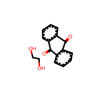 O=C1c2ccccc2C(=O)c2ccccc21.OCCO